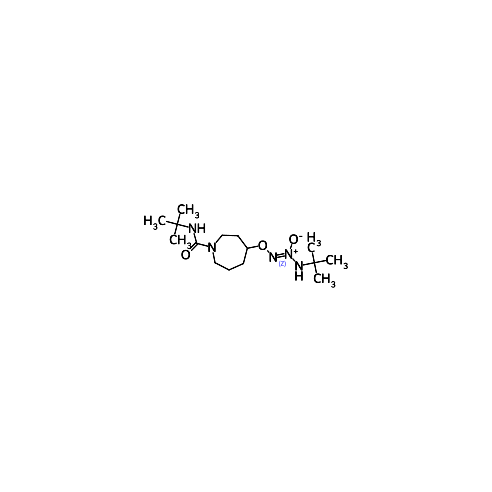 CC(C)(C)NC(=O)N1CCCC(O/N=[N+](\[O-])NC(C)(C)C)CC1